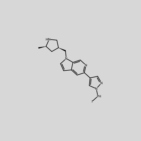 C[C@@H]1C[C@H](Cn2ccc3cc(-c4cnn(PI)c4)ncc32)CN1